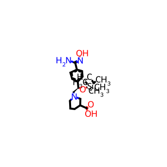 CC(C)(C)[Si](C)(C)O[C@@H](CN1CCCC(C(=O)O)C1)c1ccc(/C(N)=N/O)cc1